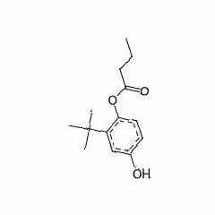 CCCC(=O)Oc1ccc(O)cc1C(C)(C)C